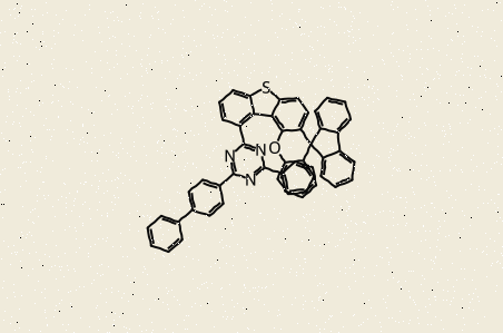 c1ccc(-c2ccc(-c3nc(-c4ccccc4)nc(-c4cccc5sc6ccc7c(c6c45)Oc4ccccc4C74c5ccccc5-c5ccccc54)n3)cc2)cc1